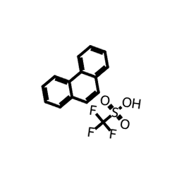 O=S(=O)(O)C(F)(F)F.c1ccc2c(c1)ccc1ccccc12